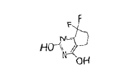 Oc1nc(O)c2c(n1)C(F)(F)CC2